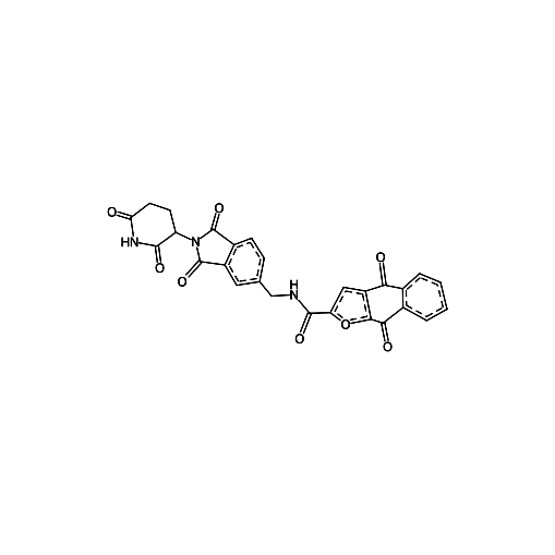 O=C1CCC(N2C(=O)c3ccc(CNC(=O)c4cc5c(o4)C(=O)c4ccccc4C5=O)cc3C2=O)C(=O)N1